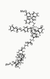 COc1ccc(C(NCCCC[C@H](NC(=O)[C@H](Cc2ccc(Cl)cc2)NC(=O)CCC(=O)NCCCO[C@H]2CC[C@@]3(C)C(=CC[C@H]4[C@@H]5CC[C@H]([C@H](C)CCCC(C)C)[C@@]5(C)CC[C@@H]43)C2)C(=O)Nc2ccc(COC(=O)Oc3ccccc3)cc2)(c2ccccc2)c2ccccc2)cc1